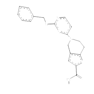 O=C(NO)c1cc2c(s1)CCN(c1ccnc(NCc3ccccc3)n1)C2